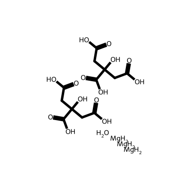 O.O=C(O)CC(O)(CC(=O)O)C(=O)O.O=C(O)CC(O)(CC(=O)O)C(=O)O.[MgH2].[MgH2].[MgH2]